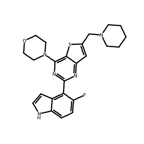 Fc1ccc2[nH]ccc2c1-c1nc(N2CCOCC2)c2sc(CN3CCCCC3)cc2n1